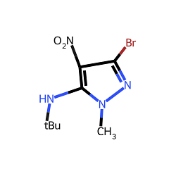 Cn1nc(Br)c([N+](=O)[O-])c1NC(C)(C)C